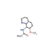 COC(=O)Nc1c(OC(F)(F)F)ccc2cccnc12